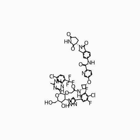 CC(=N)/N=C(\Nc1cc(Cl)ccc1C(F)(F)F)[C@@H]1O[C@H](CO)[C@H](O)[C@H](n2cc(-c3cc(F)c(Cl)c(F)c3)nn2)[C@H]1OCC(=O)N[C@H]1C[C@@H](Oc2ccc(C(=O)Nc3ccc4c(c3)CN([C@H]3CCC(=O)NC3=O)C4=O)nc2)C1